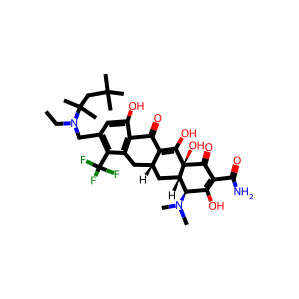 CCN(Cc1cc(O)c2c(c1C(F)(F)F)C[C@H]1C[C@H]3[C@H](N(C)C)C(O)=C(C(N)=O)C(=O)[C@@]3(O)C(O)=C1C2=O)C(C)(C)CC(C)(C)C